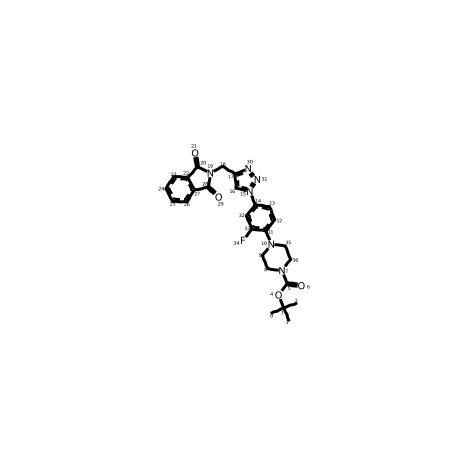 CC(C)(C)OC(=O)N1CCN(c2ccc(-n3cc(CN4C(=O)c5ccccc5C4=O)nn3)cc2F)CC1